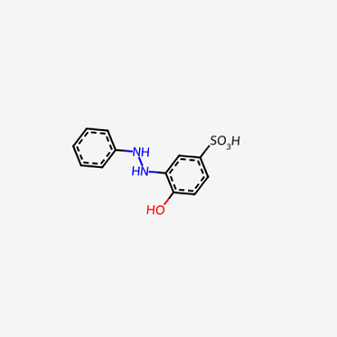 O=S(=O)(O)c1ccc(O)c(NNc2ccccc2)c1